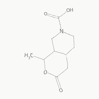 CC1OC(=O)CC2CCN(C(=O)O)CC21